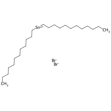 CCCCCCCCCCC[CH2][Sn+2][CH2]CCCCCCCCCCC.[Br-].[Br-]